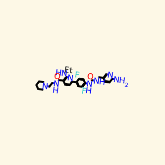 CCNc1nc(-c2cc(F)c(NC(=O)NCc3ccc(N)nc3)cc2F)ccc1C(=O)NCCN1CCCCC1